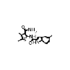 Cc1ccc2[nH]c(C(=O)Nc3sc(C)c(C)c3C(N)=O)cc2c1